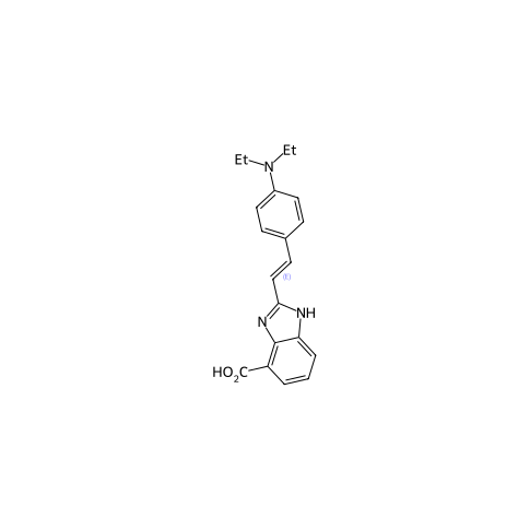 CCN(CC)c1ccc(/C=C/c2nc3c(C(=O)O)cccc3[nH]2)cc1